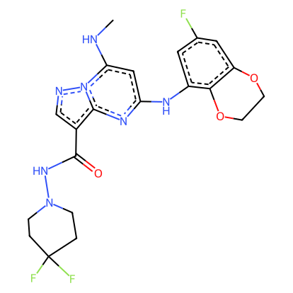 CNc1cc(Nc2cc(F)cc3c2OCCO3)nc2c(C(=O)NN3CCC(F)(F)CC3)cnn12